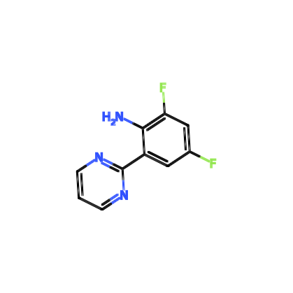 Nc1c(F)cc(F)cc1-c1ncccn1